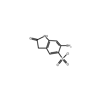 Bc1cc2c(cc1S(=O)(=O)Cl)CC(=O)N2